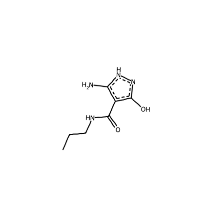 CCCNC(=O)c1c(O)n[nH]c1N